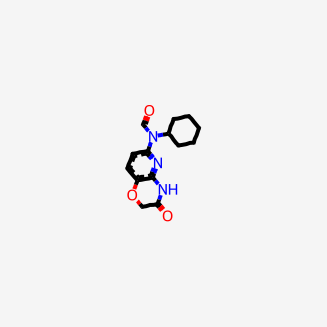 O=CN(c1ccc2c(n1)NC(=O)CO2)C1CCCCC1